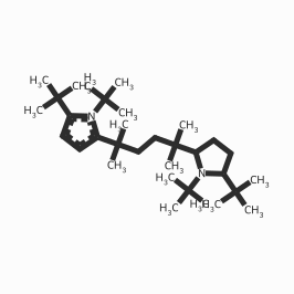 CC(C)(C)c1ccc(C(C)(C)CCC(C)(C)C2CCC(C(C)(C)C)N2C(C)(C)C)n1C(C)(C)C